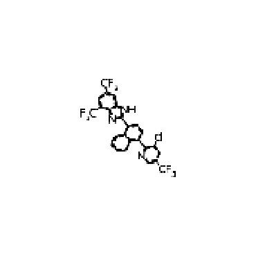 FC(F)(F)c1cnc(-c2ccc(-c3nc4c(C(F)(F)F)cc(C(F)(F)F)cc4[nH]3)c3ccccc23)c(Cl)c1